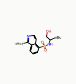 CCCCCCc1nccc2c(S(=O)(=O)NC(CO)CCCC)cccc12